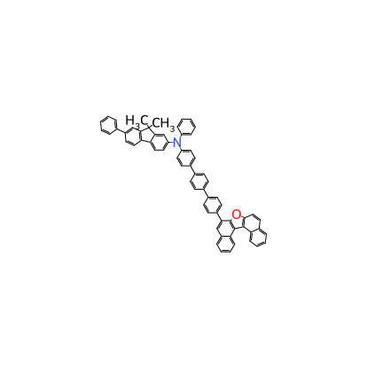 CC1(C)c2cc(-c3ccccc3)ccc2-c2ccc(N(c3ccccc3)c3ccc(-c4ccc(-c5ccc(-c6cc7ccccc7c7c6oc6ccc8ccccc8c67)cc5)cc4)cc3)cc21